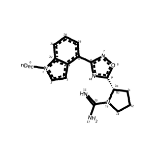 CCCCCCCCCCn1ccc2c(-c3noc([C@@H]4CCCN4C(=N)N)n3)cccc21